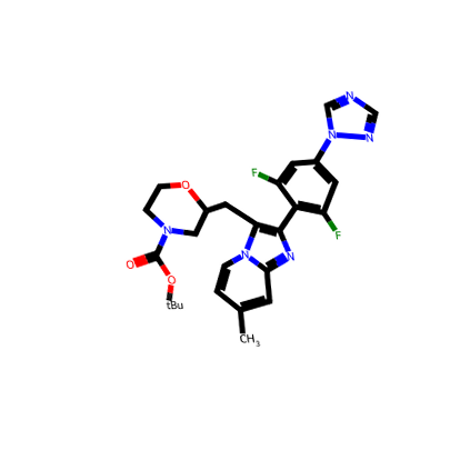 Cc1ccn2c(CC3CN(C(=O)OC(C)(C)C)CCO3)c(-c3c(F)cc(-n4cncn4)cc3F)nc2c1